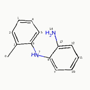 Cc1ccccc1Nc1ccccc1N